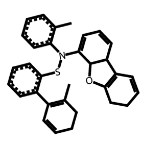 CC1=C(c2ccccc2SN(C2=CC=CC3C4=C(CCC=C4)OC23)c2ccccc2C)C=CCC1